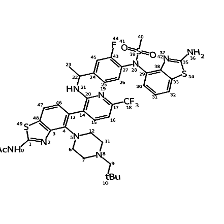 CC(=O)Nc1nc2c(N3CCN(CC(C)(C)C)CC3)c(-c3ccc(C(F)(F)F)nc3NC(C)c3ccc(N(c4cccc5sc(N)nc45)S(C)(=O)=O)c(F)c3)ccc2s1